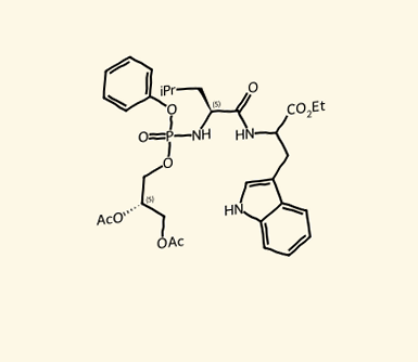 CCOC(=O)C(Cc1c[nH]c2ccccc12)NC(=O)[C@H](CC(C)C)NP(=O)(OC[C@H](COC(C)=O)OC(C)=O)Oc1ccccc1